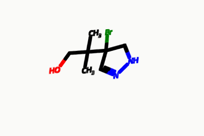 CC(C)(CO)C1(Br)C=NNC1